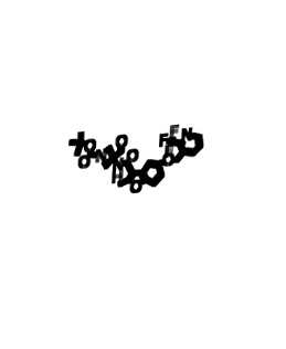 Cc1oc2ccc(OCc3cccnc3C(F)(F)F)cc2c1C(=O)NC1(C=O)CN(C(=O)OC(C)(C)C)C1